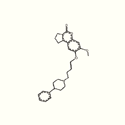 COc1cc2oc(=O)c3c(c2cc1OCCCCN1CCC(c2ccccc2)CC1)CCC3